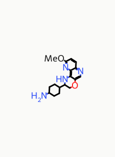 COc1ccc2ncc3c(c2n1)NC(C1CCC(N)CC1)CO3